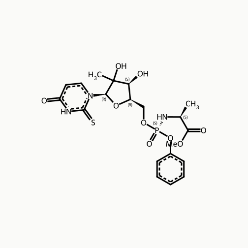 COC(=O)[C@H](C)N[P@](=O)(OC[C@H]1O[C@@H](n2ccc(=O)[nH]c2=S)C(C)(O)[C@H]1O)Oc1ccccc1